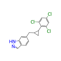 Clc1cc(Cl)c(C2CC2Cc2ccc3cn[nH]c3c2)c(Cl)c1